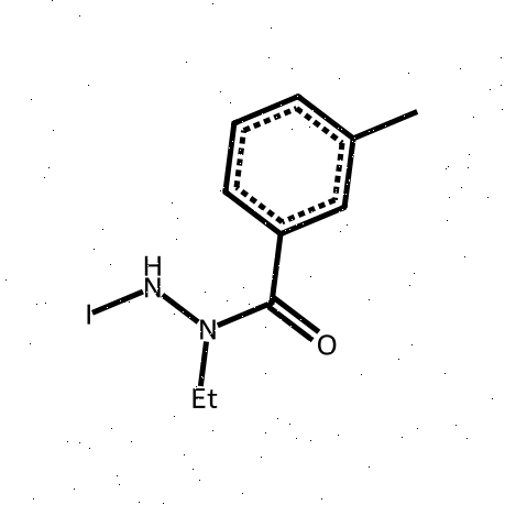 CCN(NI)C(=O)c1cccc(C)c1